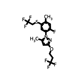 Cc1cc(F)c(-n2nc(OCCC(F)(F)F)cc2C)cc1SCC(F)(F)F